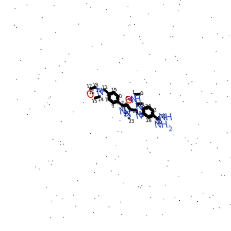 CCN(CC)Oc1c(-c2ccc(CN3CCOCC3)cc2)nn(C)c1-c1nc2cc(C(=N)N)ccc2[nH]1